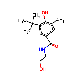 Cc1cc(C(=O)NCCO)cc(C(C)(C)C)c1O